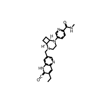 CCC1=Cc2ncc(CN3CCN(c4ccc(C(=O)NC)nc4)[C@@H]4CC[C@@H]43)cc2NC1=C=O